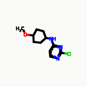 COC1CCC(Nc2ccnc(Cl)n2)CC1